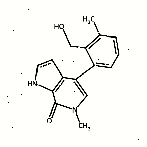 Cc1cccc(-c2cn(C)c(=O)c3[nH]ccc23)c1CO